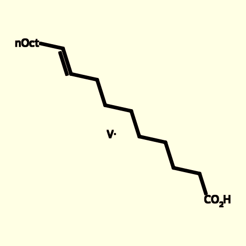 CCCCCCCCC=CCCCCCCCC(=O)O.[V]